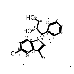 Cc1cn([C@@H](c2ccccc2)[C@H](O)CO)c2ccc(Cl)cc12